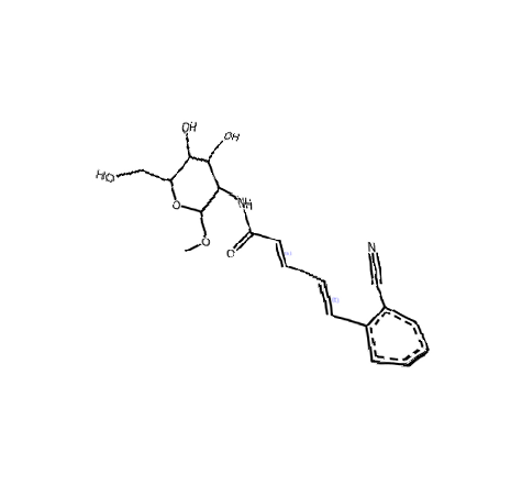 COC1OC(CO)C(O)C(O)C1NC(=O)/C=C/C=C/c1ccccc1C#N